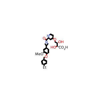 CCc1ccc(COc2ccc(C3CN(C(=O)c4cc(OC[C@H](O)[C@@H](O)C(=O)O)ccn4)C3)cc2OC)cc1